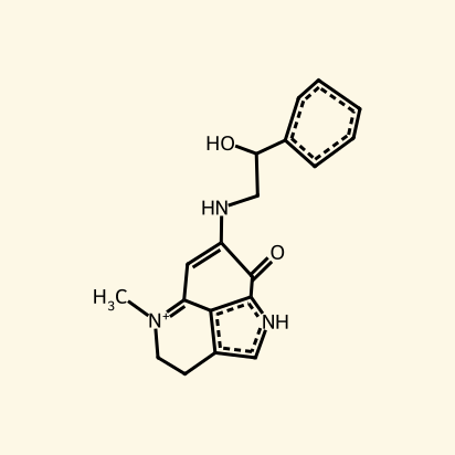 C[N+]1=C2C=C(NCC(O)c3ccccc3)C(=O)c3[nH]cc(c32)CC1